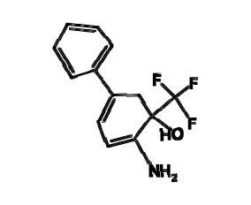 NC1=CC=C(c2ccccc2)CC1(O)C(F)(F)F